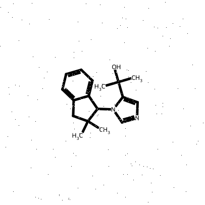 CC(C)(O)c1cncn1C1c2ccccc2CC1(C)C